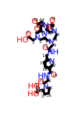 O=C(O)CN1CC2CN(CC(=O)NCc3ccc(C(=O)NCC(=O)N4CCC[C@H]4B(O)O)cn3)CCN3CC(=O)OC4(C3)N3CC(=O)OC(C1)(C3)N24